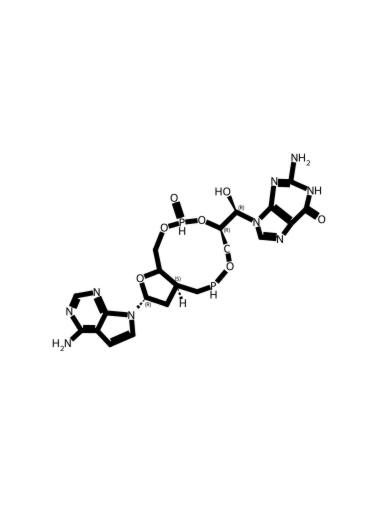 Nc1nc2c(ncn2[C@H](O)[C@H]2COPC[C@H]3C[C@H](n4ccc5c(N)ncnc54)OC3CO[PH](=O)O2)c(=O)[nH]1